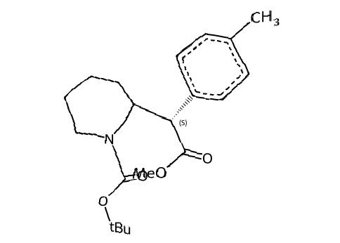 COC(=O)[C@@H](c1ccc(C)cc1)C1CCCCN1C(=O)OC(C)(C)C